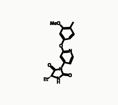 CC[C@H]1NC(=O)N(c2ccnc(Oc3ccc(C)c(OC)c3)c2)C1=O